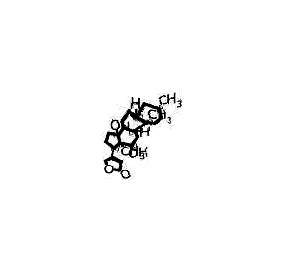 C[C@@H]1CC[C@@]2(C)[C@H](CCC3[C@@H]2C[C@@H](O)[C@]2(C)[C@@H](C4=CC(=O)OC4)CC[C@]32O)C1